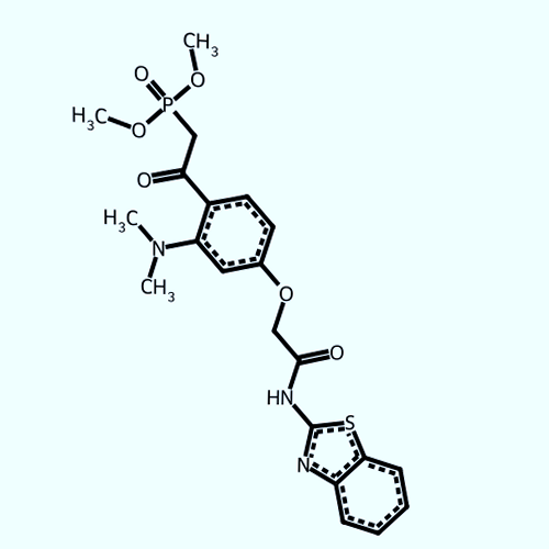 COP(=O)(CC(=O)c1ccc(OCC(=O)Nc2nc3ccccc3s2)cc1N(C)C)OC